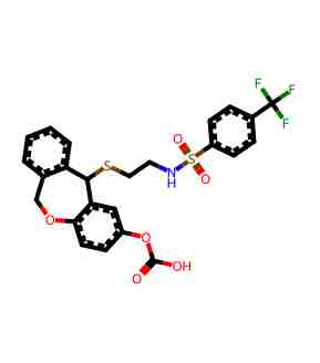 O=C(O)Oc1ccc2c(c1)C(SCCNS(=O)(=O)c1ccc(C(F)(F)F)cc1)c1ccccc1CO2